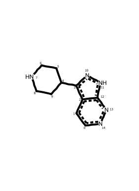 c1cc2c(C3CCNCC3)n[nH]c2nn1